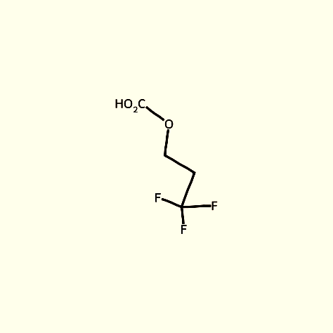 O=C(O)OCCC(F)(F)F